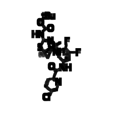 CC(C)(C)OC(=O)NC1=N[C@](C)(c2cc(NC(=O)c3ccc(Cl)cn3)cc(F)c2F)C2C[C@]2(C(N)=O)S1